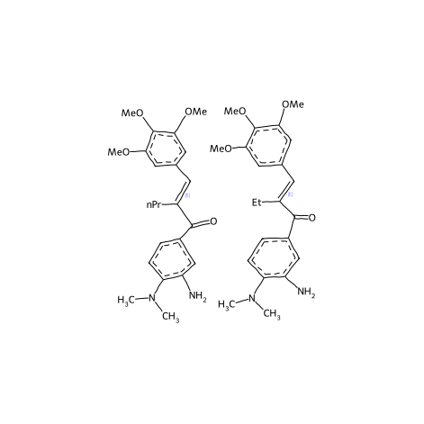 CC/C(=C\c1cc(OC)c(OC)c(OC)c1)C(=O)c1ccc(N(C)C)c(N)c1.CCC/C(=C\c1cc(OC)c(OC)c(OC)c1)C(=O)c1ccc(N(C)C)c(N)c1